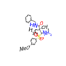 COc1ccc(S(=O)(=O)C(N)C(C)(C)C(=O)NCc2ccccc2)cc1